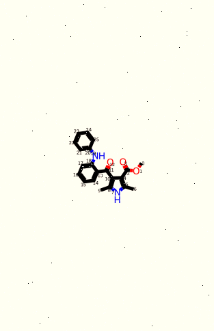 COC(=O)c1c(C)[nH]c(C)c1C(=O)c1ccccc1Nc1ccccc1